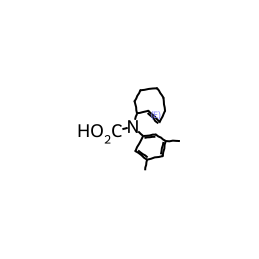 Cc1cc(C)cc(N(C(=O)O)C2/C=C/CCCCC2)c1